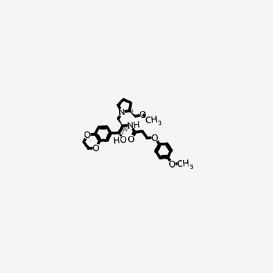 COC[C@@H]1CCCN1C[C@@H](NC(=O)CCOc1ccc(OC)cc1)[C@@H](O)c1ccc2c(c1)OCCO2